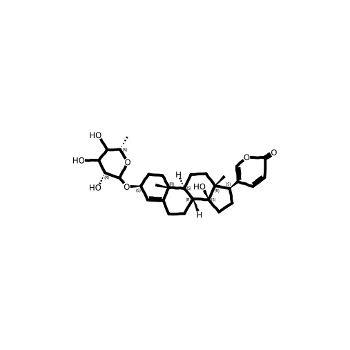 C[C@@H]1OC(O[C@@H]2C=C3CC[C@@H]4[C@H](CC[C@]5(C)[C@@H](c6ccc(=O)oc6)CC[C@]45O)[C@@]3(C)CC2)[C@H](O)C(O)C1O